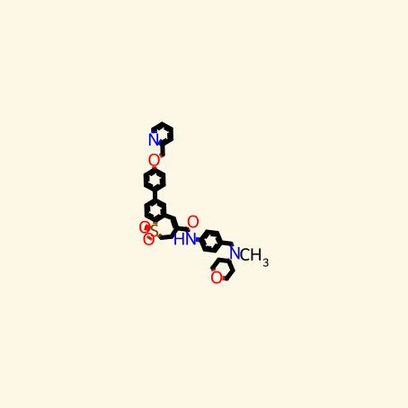 CN(Cc1ccc(NC(=O)C2=Cc3cc(-c4ccc(OCc5ccccn5)cc4)ccc3S(=O)(=O)CC2)cc1)C1CCOCC1